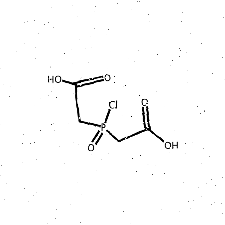 O=C(O)CP(=O)(Cl)CC(=O)O